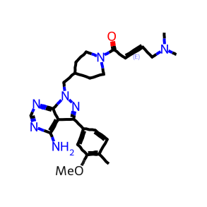 COc1cc(-c2nn(CC3CCN(C(=O)/C=C/CN(C)C)CC3)c3ncnc(N)c23)ccc1C